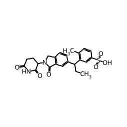 CCC(c1ccc2c(c1)C(=O)N(C1CCC(=O)NC1=O)C2)c1cc(S(=O)(=O)O)ccc1C